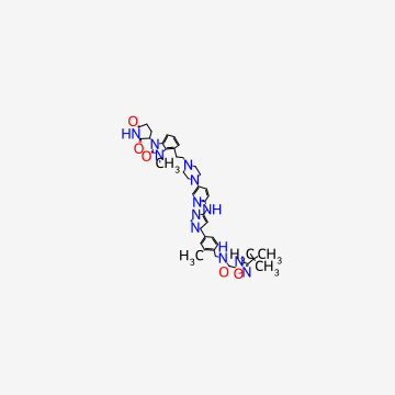 Cc1cc(-c2cc(Nc3ccc(N4CCN(CCc5cccc6c5n(C)c(=O)n6C5CCC(=O)NC5=O)CC4)cn3)ncn2)ccc1CNC(=O)c1nc(C(C)(C)C)no1